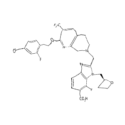 O=C(O)c1ccc2nc(CN3CCc4cc(C(F)(F)F)c(OCc5ccc(Cl)cc5F)nc4C3)n(C[C@@H]3CCO3)c2c1F